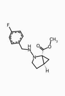 COC(=O)[C@]12C[C@H]1CCN2NCc1ccc(F)cc1